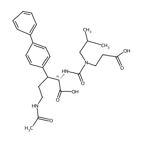 CC(=O)NCCC(c1ccc(-c2ccccc2)cc1)[C@H](NC(=O)N(CCC(=O)O)CC(C)C)C(=O)O